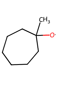 CC1([O])CCCCCC1